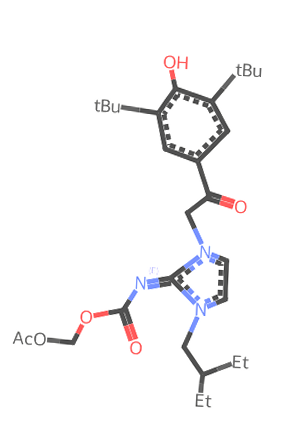 CCC(CC)Cn1ccn(CC(=O)c2cc(C(C)(C)C)c(O)c(C(C)(C)C)c2)/c1=N/C(=O)OCOC(C)=O